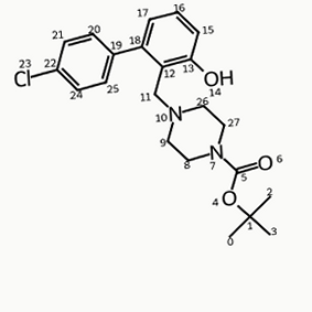 CC(C)(C)OC(=O)N1CCN(Cc2c(O)cccc2-c2ccc(Cl)cc2)CC1